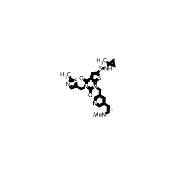 CN/C=C\c1cncc(Cn2c(=O)n(Cc3cnc(C)s3)c(=O)c3cc(SNC4(C)CC4)sc32)c1